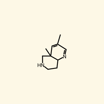 CC1=CC2(C)CNCCC2N=C1